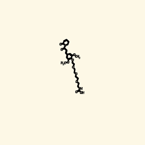 COc1cc(C=CC(=O)N2CCC=CC2=O)cc(OC)c1OCCOCCOCCOCCNC(=O)O